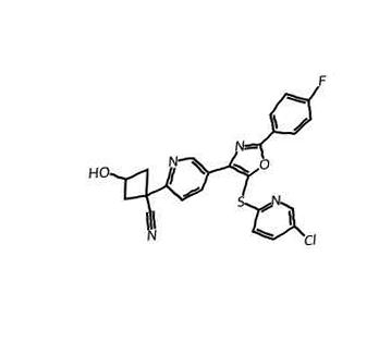 N#CC1(c2ccc(-c3nc(-c4ccc(F)cc4)oc3Sc3ccc(Cl)cn3)cn2)CC(O)C1